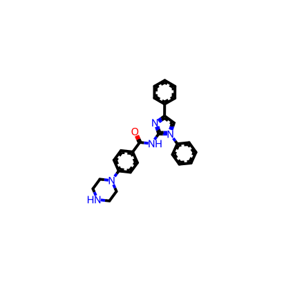 O=C(Nc1nc(-c2ccccc2)cn1-c1ccccc1)c1ccc(N2CCNCC2)cc1